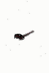 CCCCCCCCC=CCCCCCCCNC(=O)NC1CCCCC1C(NC(=O)C1OC(C)(C)OCC1(C)C)C(=O)O